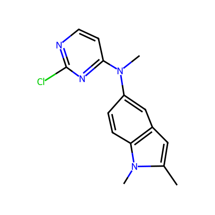 Cc1cc2cc(N(C)c3ccnc(Cl)n3)ccc2n1C